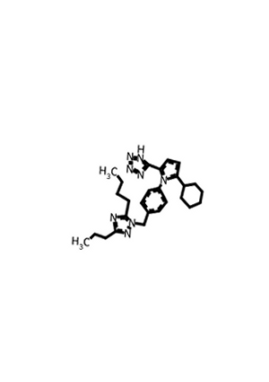 CCCCc1nc(CCC)nn1Cc1ccc(-n2c(-c3nnn[nH]3)ccc2C2CCCCC2)cc1